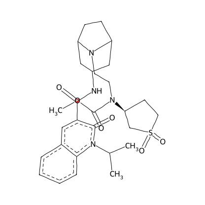 COC(=O)N(CCN1C2CCC1CC(NC(=O)c1cc3ccccc3n(C(C)C)c1=O)C2)[C@H]1CCS(=O)(=O)C1